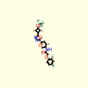 O=C(COc1ccc(F)cc1F)N[C@@H]1CC[C@@H](c2nnc(C3CC(OC(F)(F)F)C3)o2)OC1